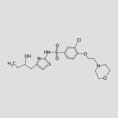 CCC(O)Cc1csc(NS(=O)(=O)c2ccc(OCCN3CCOCC3)c(Cl)c2)n1